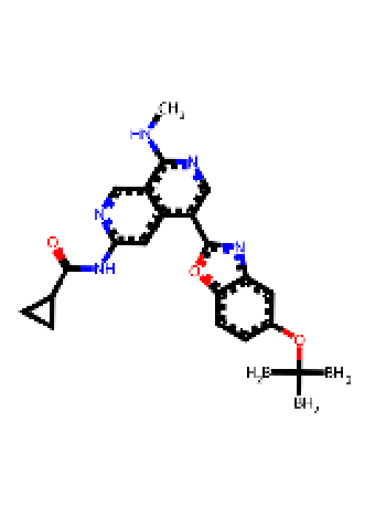 BC(B)(B)Oc1ccc2oc(-c3cnc(NC)c4cnc(NC(=O)C5CC5)cc34)nc2c1